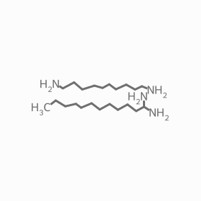 CCCCCCCCCCCC(N)N.NCCCCCCCCCCN